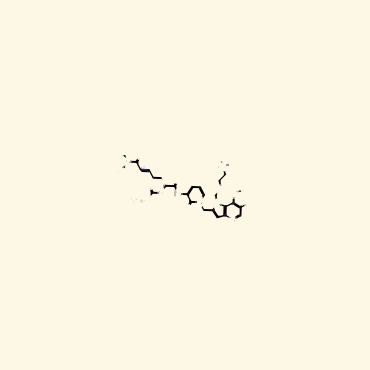 COC(=O)N[C@@H](CC/C=C/C(=O)N(C)C)C(=O)Nc1cccn(Cc2cc3ncc(C(F)(F)F)c(OC(C)C)c3n2COCC[Si](C)(C)C)c1=O